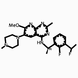 COc1nc2nc(C)nc(N[C@H](C)c3cccc(C(C)F)c3F)c2cc1N1CCN(C)CC1